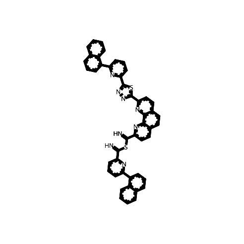 N=C(SC(=N)c1ccc2ccc3ccc(-c4nnc(-c5cccc(-c6cccc7ccccc67)n5)s4)nc3c2n1)c1cccc(-c2cccc3ccccc23)n1